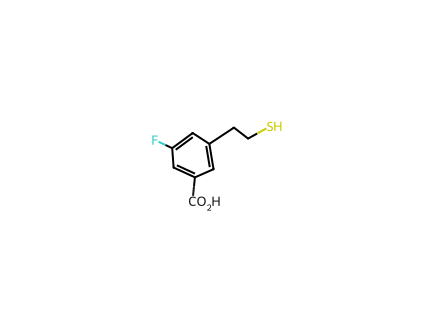 O=C(O)c1cc(F)cc(CCS)c1